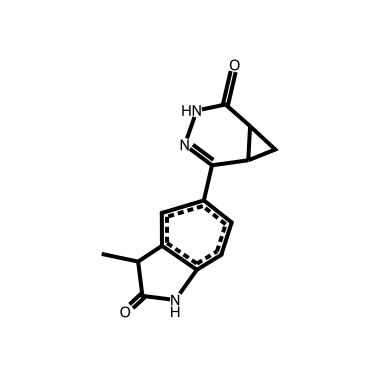 CC1C(=O)Nc2ccc(C3=NNC(=O)C4CC34)cc21